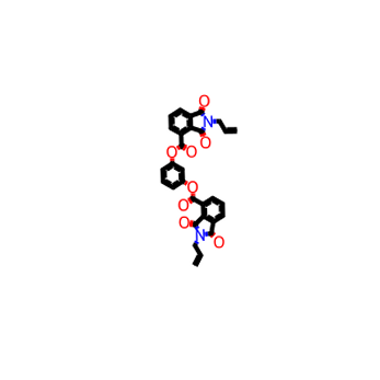 C=CCN1C(=O)c2cccc(C(=O)Oc3cccc(OC(=O)c4cccc5c4C(=O)N(CC=C)C5=O)c3)c2C1=O